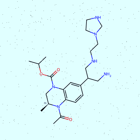 CC(=O)N1c2ccc(C(CN)CNCCN3CCNC3)cc2N(C(=O)OC(C)C)C[C@@H]1C